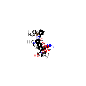 CN(C)c1cc(NCc2ccccc2SC(C)(C)C)c(O)c2c1C[C@H]1C[C@@H]([C@@H](CO)N(C)C)[C@](O)(C(=O)CC(N)=O)C(O)=C1C2=O